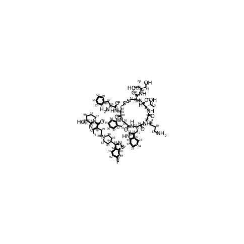 CC(O)[C@@H]1NC(=O)[C@H](CCCCN)NC(=O)[C@@H](Cc2c[nH]c3ccccc23)NC(=O)[C@H](Cc2ccccc2)NC(=O)[C@@H](NC(=O)[C@H](N)Cc2ccccc2)CSSC[C@@H](C(=O)N[C@H](CO)[C@@H](C)O)NC1=O.Cc1nc2n(c(=O)c1CCN1CCC(c3noc4cc(F)ccc34)CC1)CCC[C@H]2O